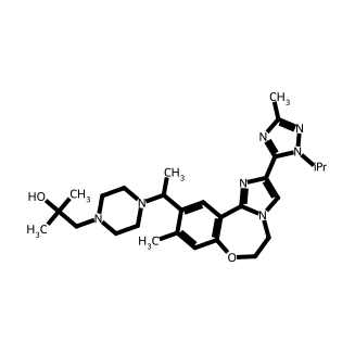 Cc1nc(-c2cn3c(n2)-c2cc(C(C)N4CCN(CC(C)(C)O)CC4)c(C)cc2OCC3)n(C(C)C)n1